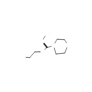 CC(C)(C)CCN/C(=N/C#N)N1CCOCC1